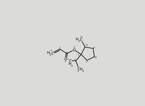 C=CC(=O)OC1(C(C)C)CCCC1C